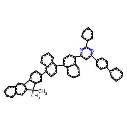 CC1(C)c2cc(-c3ccc(-c4ccc(-c5cc(-c6ccc(-c7ccccc7)cc6)nc(-c6ccccc6)n5)c5ccccc45)c4ccccc34)ccc2-c2cc3ccccc3cc21